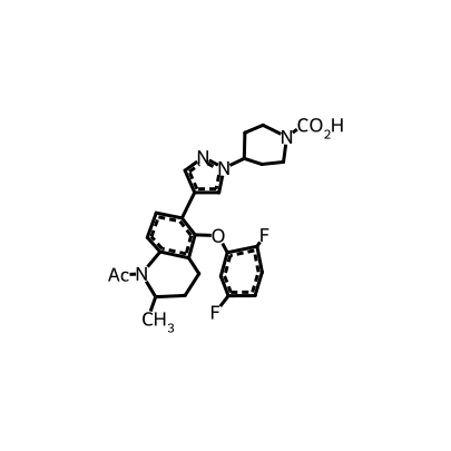 CC(=O)N1c2ccc(-c3cnn(C4CCN(C(=O)O)CC4)c3)c(Oc3cc(F)ccc3F)c2CCC1C